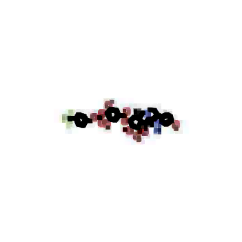 COC(=O)[C@H]1[C@H]2C[C@@H]3c4[nH]c5cc(OC)ccc5c4CCN3C[C@H]2C[C@@H](OC(=O)c2cc(OC)c(OC(=O)OCc3ccc(C(F)(F)F)cc3)c(OC)c2)[C@@H]1OC